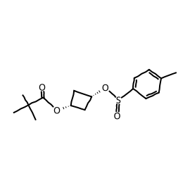 Cc1ccc(S(=O)O[C@H]2C[C@@H](OC(=O)C(C)(C)C)C2)cc1